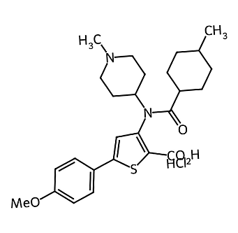 COc1ccc(-c2cc(N(C(=O)C3CCC(C)CC3)C3CCN(C)CC3)c(C(=O)O)s2)cc1.Cl